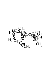 C=CCOC(=O)[C@H]1O[C@@H](Oc2ccc(COC(=O)O[C@H]3CC(=O)O[C@H](c4ccc5sc(C)nc5c4)C[C@H]4O[C@@]4(C)CCC[C@H](C)[C@H](O)[C@@H](CC=C)C(=O)C3(C)C)cc2[N+](=O)[O-])[C@H](O)[C@@H](O)[C@@H]1O